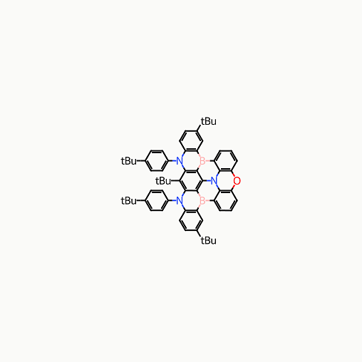 CC(C)(C)c1ccc(N2c3ccc(C(C)(C)C)cc3B3c4cccc5c4N4c6c(cccc6B6c7cc(C(C)(C)C)ccc7N(c7ccc(C(C)(C)C)cc7)c7c6c4c3c2c7C(C)(C)C)O5)cc1